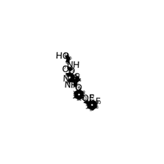 Nc1ncc(OC(=O)NCCO)c2scc(COc3cccc(OCc4cccc(F)c4F)c3)c12